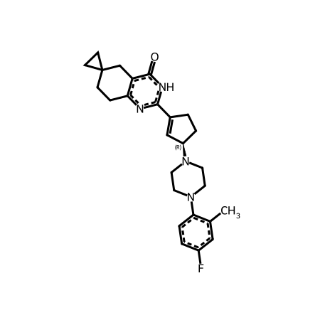 Cc1cc(F)ccc1N1CCN([C@H]2C=C(c3nc4c(c(=O)[nH]3)CC3(CC4)CC3)CC2)CC1